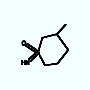 CC1CCCS(=N)(=O)C1